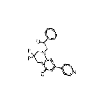 O=C(CN1CC(F)(F)Cn2c1nc(-c1ccncc1)cc2=O)c1ccccc1